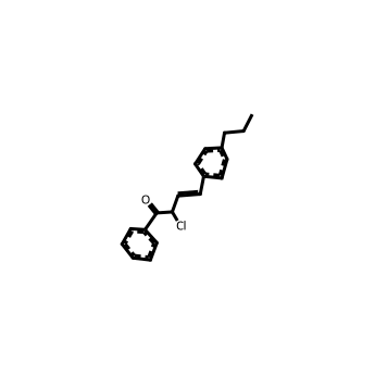 CCCc1ccc(C=CC(Cl)C(=O)c2ccccc2)cc1